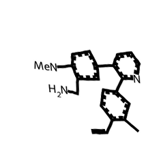 C=Cc1ccc(-c2ncccc2-c2ccc(NC)c(CN)c2)cc1C